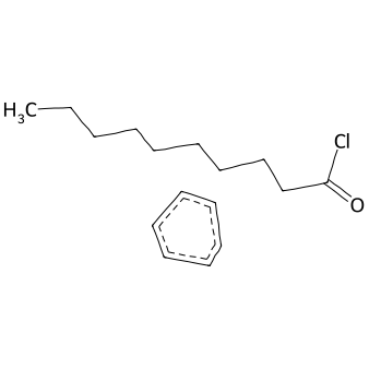 CCCCCCCCCC(=O)Cl.c1ccccc1